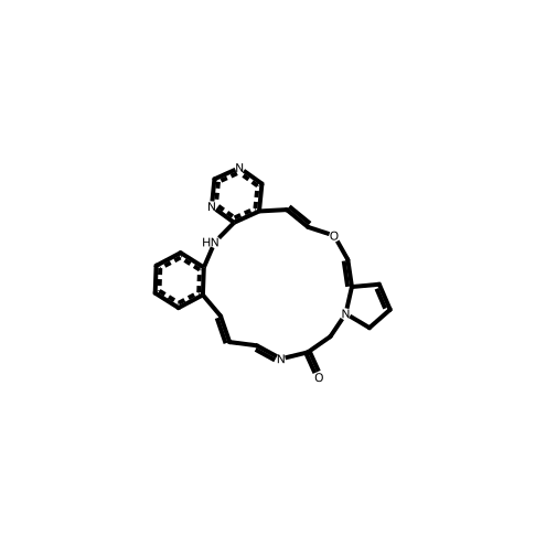 O=C1CN2CC=C/C2=C/O/C=C/c2cncnc2Nc2ccccc2/C=C/C=N/1